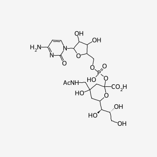 CC(=O)NCC1(O)CC([C@H](O)[C@H](O)CO)OC(OP(=O)(O)OCC2OC(n3ccc(N)nc3=O)C(O)C2O)(C(=O)O)C1